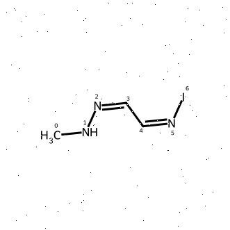 CN/N=C\C=N/I